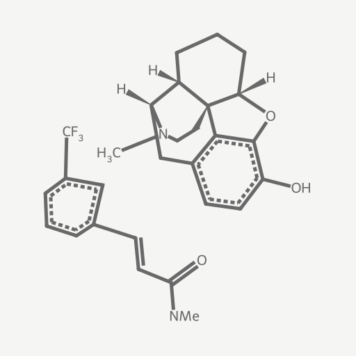 CN1CC[C@]23c4c5ccc(O)c4O[C@H]2CCC[C@H]3[C@H]1C5.CNC(=O)/C=C/c1cccc(C(F)(F)F)c1